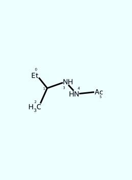 CCC(C)NNC(C)=O